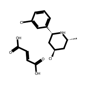 C[C@@H]1C[C@@H](Cl)C[C@H](c2cccc(Cl)c2)N1.O=C(O)/C=C/C(=O)O